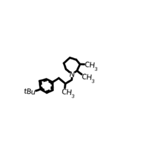 CC(Cc1ccc(C(C)(C)C)cc1)CN1CCCCC(C)C1C